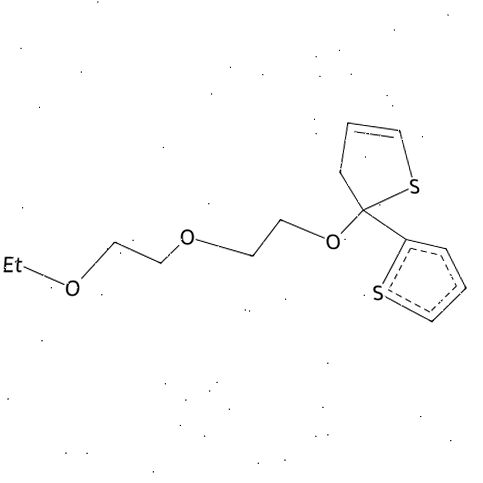 CCOCCOCCOC1(c2cccs2)CC=CS1